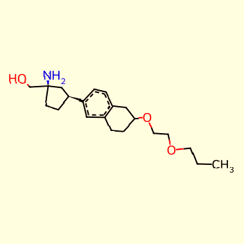 CCCOCCOC1CCc2cc([C@H]3CC[C@](N)(CO)C3)ccc2C1